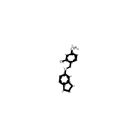 Cc1ccc(COc2ccc3c(c2)CCC3)c(Cl)c1